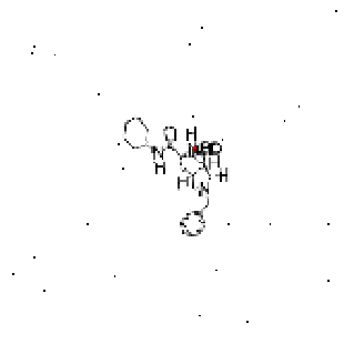 CCC[C@@H]1[C@@H]2[C@@H]3C(=O)N[C@@]1(C(=O)NC1CCCCC1)C[C@@H]3CN2Cc1ccccc1